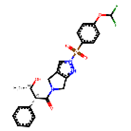 C[C@H](O)[C@H](C(=O)N1Cc2cn(S(=O)(=O)c3ccc(OC(F)F)cc3)nc2C1)c1ccccc1